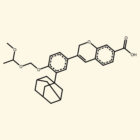 COC(C)OCOc1ccc(C2=Cc3ccc(C(=O)O)cc3OC2)cc1C12CC3CC(CC(C3)C1)C2